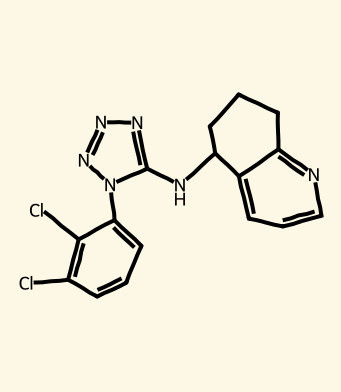 Clc1cccc(-n2nnnc2NC2CCCc3ncccc32)c1Cl